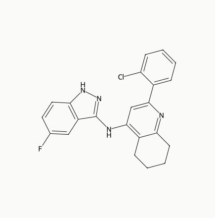 Fc1ccc2[nH]nc(Nc3cc(-c4ccccc4Cl)nc4c3CCCC4)c2c1